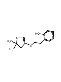 CC1(C)CC(SCCc2ccccc2C#N)=NO1